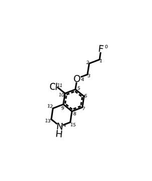 FCCCOc1ccc2c(c1Cl)CCNC2